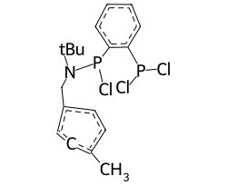 Cc1ccc(CN(P(Cl)c2ccccc2P(Cl)Cl)C(C)(C)C)cc1